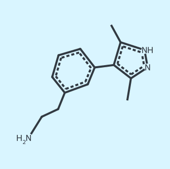 Cc1n[nH]c(C)c1-c1cccc(CCN)c1